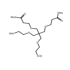 COC(=O)CCOCC(COCCC=O)(COCCC=O)COCCC(=O)OC